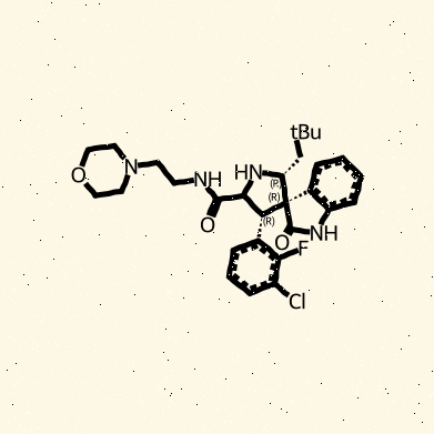 CC(C)(C)C[C@H]1NC(C(=O)NCCN2CCOCC2)[C@@H](c2cccc(Cl)c2F)[C@]12C(=O)Nc1ccccc12